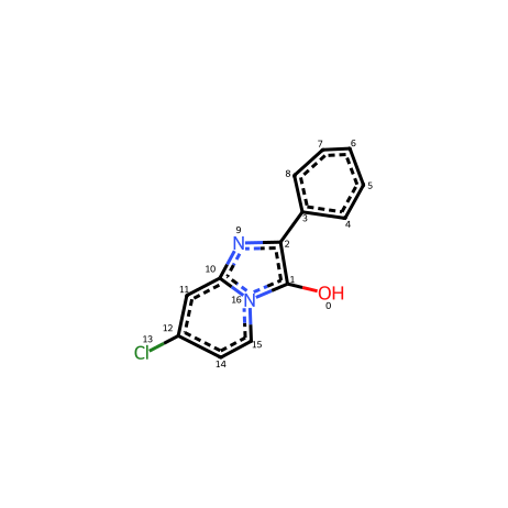 Oc1c(-c2ccccc2)nc2cc(Cl)ccn12